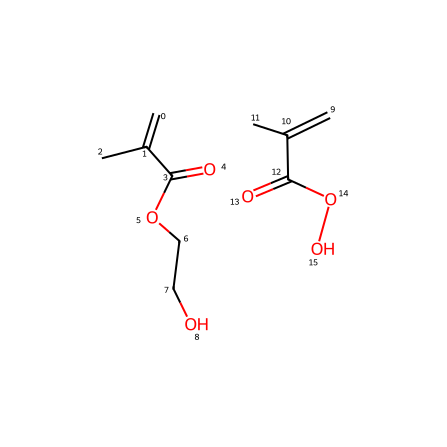 C=C(C)C(=O)OCCO.C=C(C)C(=O)OO